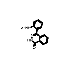 CC(=O)Nc1ccccc1-c1n[nH]c(=O)c2ccccc12